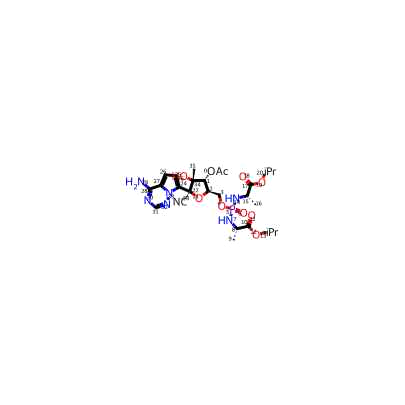 CC(=O)O[C@@H]1[C@@H](COP(=O)(N[C@@H](C)C(=O)OC(C)C)N[C@@H](C)C(=O)OC(C)C)O[C@@](C#N)(c2ccc3c(N)ncnn23)[C@]1(C)O